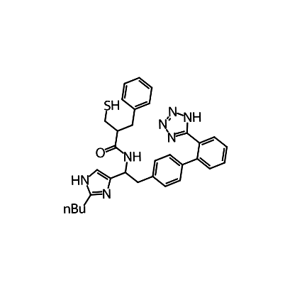 CCCCc1nc(C(Cc2ccc(-c3ccccc3-c3nnn[nH]3)cc2)NC(=O)C(CS)Cc2ccccc2)c[nH]1